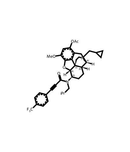 COc1cc(OC(C)=O)c2c3c1O[C@H]1[C@H](N(CC(C)C)C(=O)C#Cc4ccc(C(F)(F)F)cc4)CC[C@H]4[C@@H](C2)N(CC2CC2)CC[C@@]341